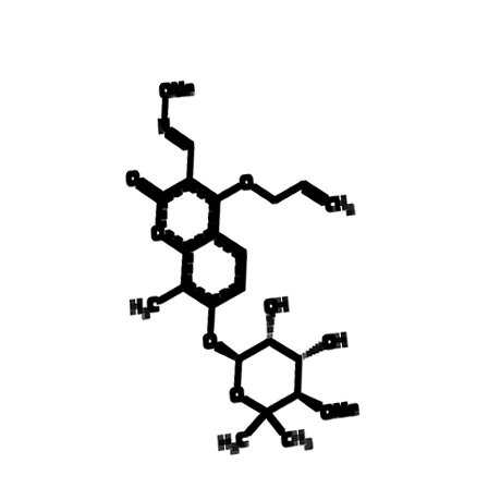 C=CCOc1c(/C=N/OC)c(=O)oc2c(C)c(O[C@@H]3OC(C)(C)[C@H](OC)[C@@H](O)[C@H]3O)ccc12